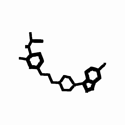 CC(=O)Nc1ccc(CCCN2CCN(c3noc4cc(F)ccc34)CC2)nc1C